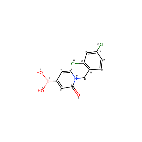 O=c1cc(B(O)O)ccn1Cc1ccc(Cl)cc1Cl